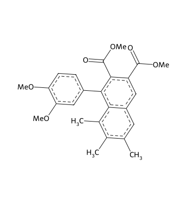 COC(=O)c1cc2cc(C)c(C)c(C)c2c(-c2ccc(OC)c(OC)c2)c1C(=O)OC